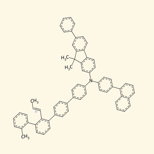 C/C=C/c1c(-c2ccc(-c3ccc(N(c4ccc(-c5cccc6ccccc56)cc4)c4ccc5c(c4)C(C)(C)c4cc(-c6ccccc6)ccc4-5)cc3)cc2)cccc1-c1ccccc1C